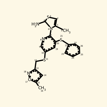 CC1=CSC(N)N1c1ncc(SCc2cc(C)on2)cc1Sc1ccccc1